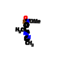 COCn1c(=O)sc2cc(C(C)c3ccn(-c4ccc(C)cn4)n3)ccc21